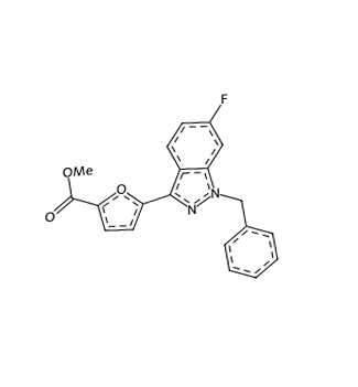 COC(=O)c1ccc(-c2nn(Cc3ccccc3)c3cc(F)ccc23)o1